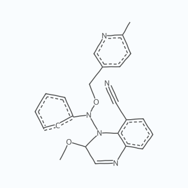 COC1C=Nc2cccc(C#N)c2N1N(OCc1ccc(C)nc1)c1ccccc1